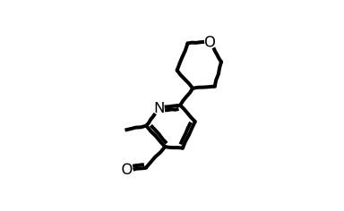 Cc1nc(C2CCOCC2)ccc1C=O